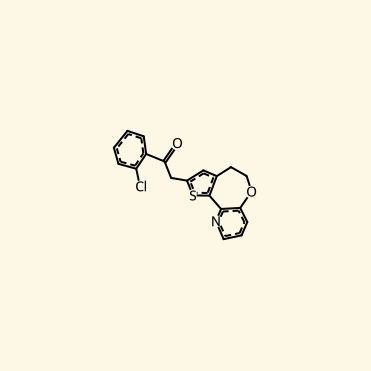 O=C(Cc1cc2c(s1)-c1ncccc1OCC2)c1ccccc1Cl